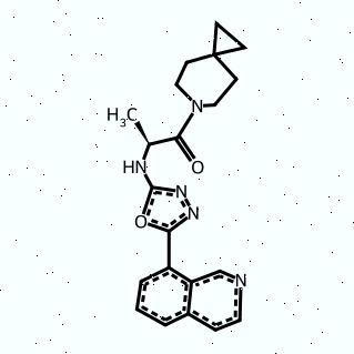 C[C@H](Nc1nnc(-c2cccc3ccncc23)o1)C(=O)N1CCC2(CC1)CC2